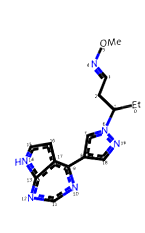 CCC(CC=NOC)n1cc(-c2ncnc3[nH]ccc23)cn1